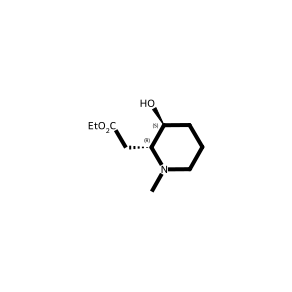 CCOC(=O)C[C@@H]1[C@@H](O)CCCN1C